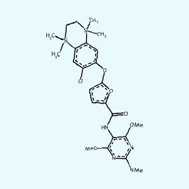 CNc1nc(OC)c(NC(=O)c2ccc(Oc3cc4c(cc3Cl)[Si](C)(C)CC[Si]4(C)C)o2)c(OC)n1